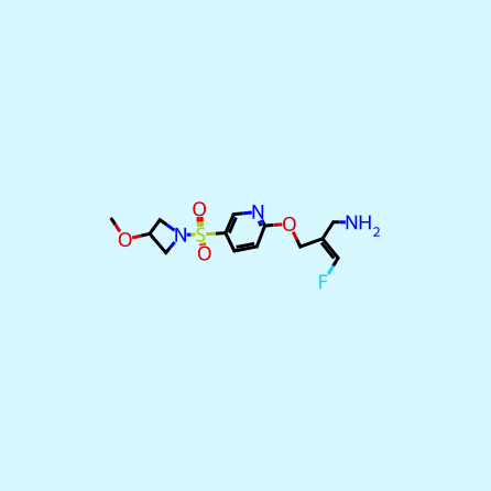 COC1CN(S(=O)(=O)c2ccc(OC/C(=C\F)CN)nc2)C1